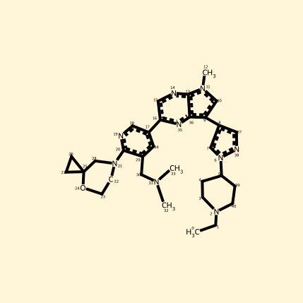 CCN1CCC(n2cc(-c3cn(C)c4ncc(-c5cnc(N6CCOC7(CC7)C6)c(CN(C)C)c5)nc34)cn2)CC1